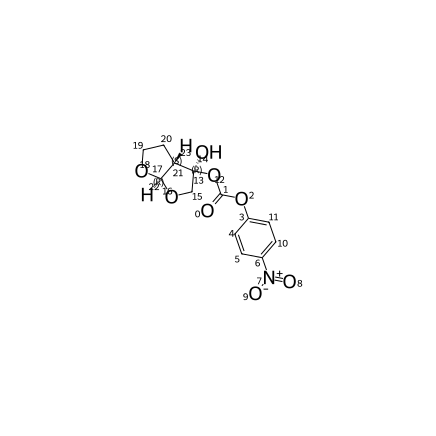 O=C(Oc1ccc([N+](=O)[O-])cc1)O[C@@]1(O)CO[C@H]2OCC[C@@H]21